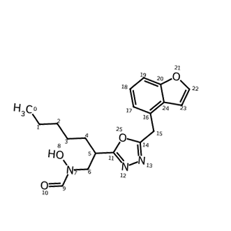 CCCCCC(CN(O)C=O)c1nnc(Cc2cccc3occc23)o1